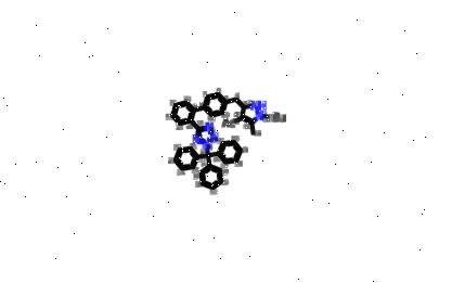 CCCCN1NC(Cc2ccc(-c3ccccc3-c3nnn(C(c4ccccc4)(c4ccccc4)c4ccccc4)n3)cc2)C(C(C)=O)=C1C